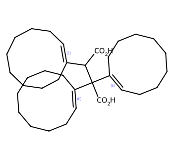 O=C(O)C(/C1=C/CCCCCCCC1)C(C(=O)O)(/C1=C/CCCCCCCC1)/C1=C/CCCCCCCC1